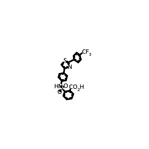 O=C(O)c1ccccc1S(=O)(=O)Nc1ccc(-c2csc(-c3ccc(C(F)(F)F)cc3)n2)cc1